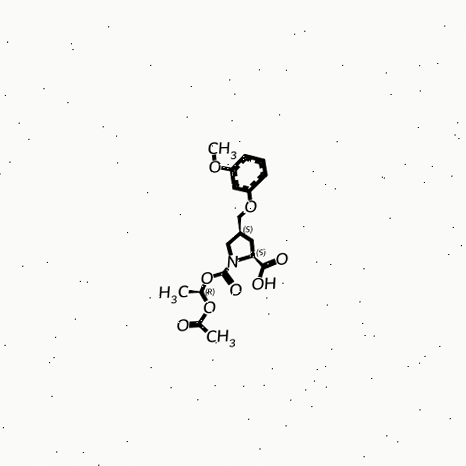 COc1cccc(OC[C@H]2C[C@@H](C(=O)O)N(C(=O)O[C@H](C)OC(C)=O)C2)c1